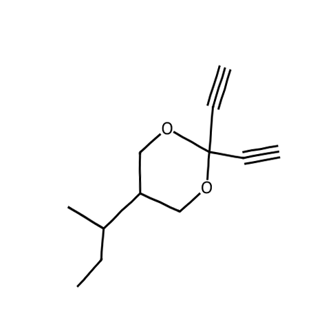 C#CC1(C#C)OCC(C(C)CC)CO1